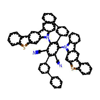 N#Cc1c(-c2cccc(-c3ccccc3)c2)c(C#N)c(-n2c3ccccc3c3cc4c(cc32)sc2ccccc24)c(-c2cccc(-c3ccccc3)c2)c1-n1c2ccccc2c2cc3c(cc21)sc1ccccc13